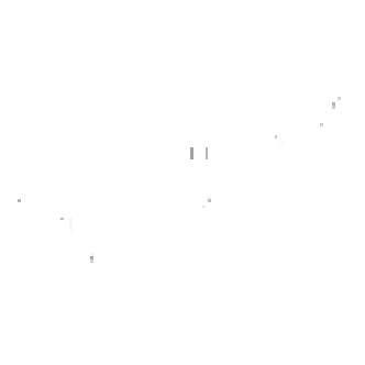 O=C(I)CNC(=O)CNC(=O)CCCCCN1C(=O)C=CC1=O